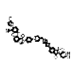 N#Cc1c(-n2ccc(F)c2)ccc(F)c1Oc1ccc2ncn(-c3ccc(N4CCC(CN5CC6(CC(c7ccc8c(c7)C(=O)N([C@@H]7CCC(=O)NC7=O)C8=O)C6)C5)CC4)cc3)c(=O)c2c1